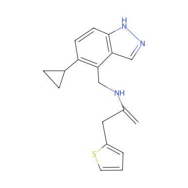 C=C(Cc1cccs1)NCc1c(C2CC2)ccc2[nH]ncc12